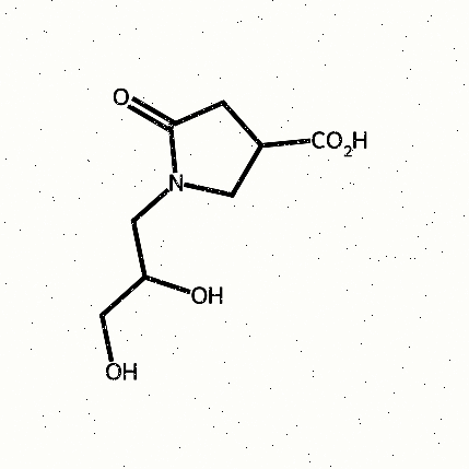 O=C(O)C1CC(=O)N(CC(O)CO)C1